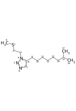 CSCCn1nncc1CCCCCCC(C)C